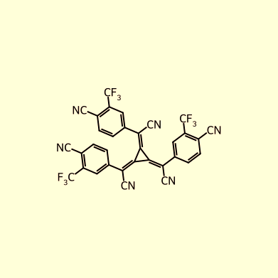 N#CC(=C1C(=C(C#N)c2ccc(C#N)c(C(F)(F)F)c2)C1=C(C#N)c1ccc(C#N)c(C(F)(F)F)c1)c1ccc(C#N)c(C(F)(F)F)c1